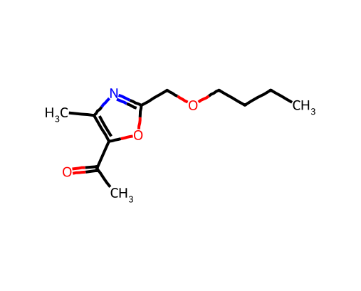 CCCCOCc1nc(C)c(C(C)=O)o1